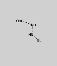 CCNN[C]=O